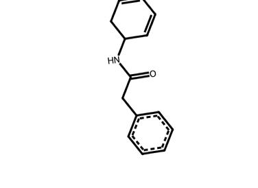 O=C(Cc1ccccc1)NC1C=CC=CC1